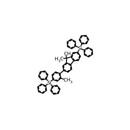 Cc1cc([Si](c2ccccc2)(c2ccccc2)c2ccccc2)ccc1-c1ccc2c(c1)C(C)(C)c1cc([Si](c3ccccc3)(c3ccccc3)c3ccccc3)ccc1-2